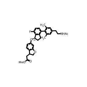 COC(=O)CC1COc2cc(O[C@@H]3CCc4c(-c5c(C)cc(CCNC(C)=O)cc5C)ccc(F)c43)ccc21